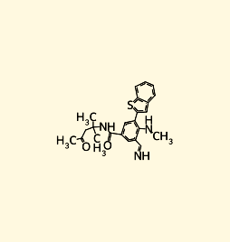 CNc1c(C=N)cc(C(=O)NC(C)(C)CC(C)=O)cc1-c1cc2ccccc2s1